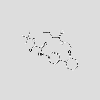 CC(C)(C)OC(=O)C(=O)Nc1ccc(N2CCCCC2=O)cc1.CCCC(=O)OCC